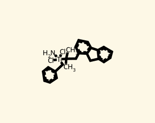 C[C](C)(Cc1cccc2c1Cc1ccccc1-2)[Ti]([NH2])([Cl])([Cl])[CH2]c1ccccc1